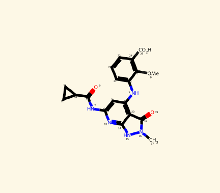 COc1c(Nc2cc(NC(=O)C3CC3)nc3[nH]n(C)c(=O)c23)cccc1C(=O)O